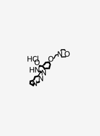 Cl.O=c1[nH]c(-c2cc3cccn3cn2)nc2ccc(OCCN3CCOCC3)cc12